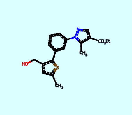 CCOC(=O)c1cnn(-c2cccc(-c3sc(C)cc3CO)c2)c1C